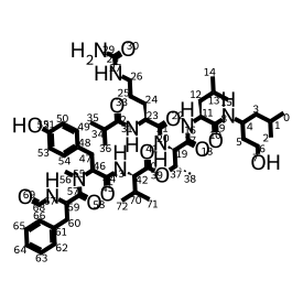 CC(C)CC(CCO)NC(=O)[C@H](CC(C)C)NC(=O)[C@@H](NC(=O)[C@H](CCCNC(N)=O)NC(=O)C(C)C)[C@H](C)OC(=O)[C@@H](NC(=O)C(Cc1ccc(O)cc1)N(C)C(=O)C(Cc1ccccc1)NC=O)C(C)C